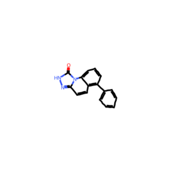 O=c1[nH]nc2ccc3c(-c4ccccc4)cccc3n12